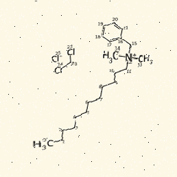 CCCCCCCCCCCC[N+](C)(C)Cc1ccccc1.ClCCl.[Cl-]